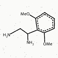 COc1cccc(OC)c1C(N)CN